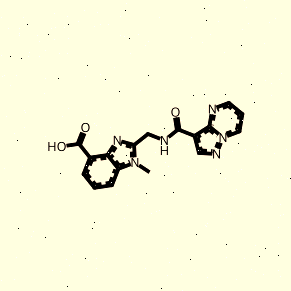 Cn1c(CNC(=O)c2cnn3cccnc23)nc2c(C(=O)O)cccc21